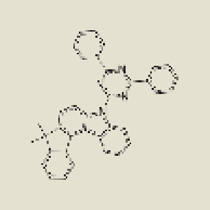 CC1(C)c2ccccc2-c2c1ccc1c2c2ccccc2n1-c1nc(-c2ccccc2)nc(-c2ccccc2)n1